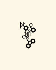 O=Cc1ccccc1Sc1ccc(C(F)(F)F)cc1CNC(=O)OCC1c2ccccc2-c2ccccc21